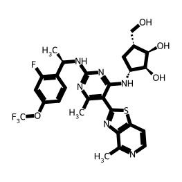 Cc1nc(N[C@H](C)c2ccc(OC(F)(F)F)cc2F)nc(N[C@@H]2C[C@H](CO)[C@@H](O)[C@H]2O)c1-c1nc2c(C)nccc2s1